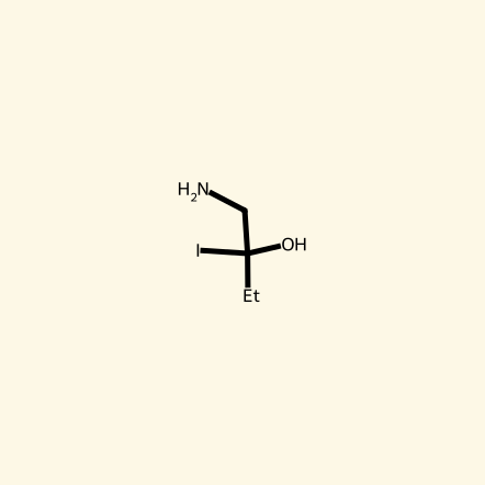 CCC(O)(I)CN